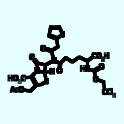 CC(=O)OCC1=C(C(=O)O)N2C(=O)C(N(C(=O)CCCC(NC(=O)OCC(Cl)(Cl)Cl)C(=O)O)C(=O)Cc3cccs3)[C@@H]2SC1